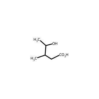 CC(O)C(C)CC(=O)O